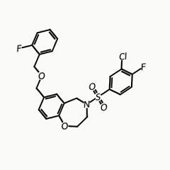 O=S(=O)(c1ccc(F)c(Cl)c1)N1CCOc2ccc(COCc3ccccc3F)cc2C1